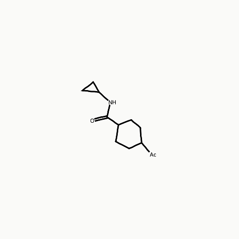 CC(=O)C1CCC(C(=O)NC2CC2)CC1